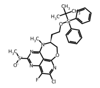 CN1c2nc([S+](C)[O-])nc3c(F)c(Cl)nc(c23)OC[C@@H]1CCO[Si](c1ccccc1)(c1ccccc1)C(C)(C)C